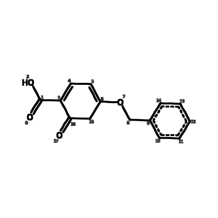 O=C(O)C1=CC=C(OCc2ccccc2)CC1=O